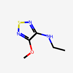 CCNc1nsnc1OC